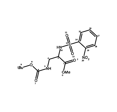 COC(=O)C(CNC(=O)OC(C)(C)C)NS(=O)(=O)c1ccccc1[N+](=O)[O-]